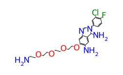 NCCOCCOCCOCCOc1cc2c(cc1N)C(N)N(c1ccc(F)c(Cl)c1)C=N2